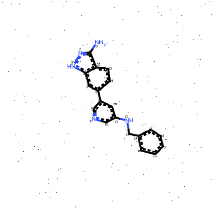 Nc1n[nH]c2cc(-c3cncc(NCc4ccccc4)c3)ccc12